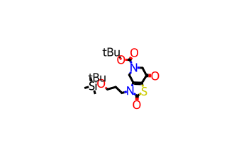 CC(C)(C)OC(=O)N1CC(=O)c2sc(=O)n(CCCO[Si](C)(C)C(C)(C)C)c2C1